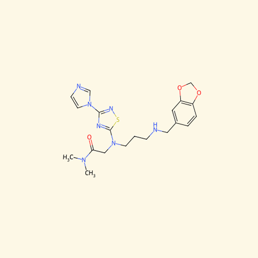 CN(C)C(=O)CN(CCCNCc1ccc2c(c1)OCO2)c1nc(-n2ccnc2)ns1